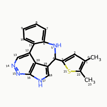 Cc1cc(C2Nc3ccccc3-c3cnnc4[nH]cc2c34)sc1C